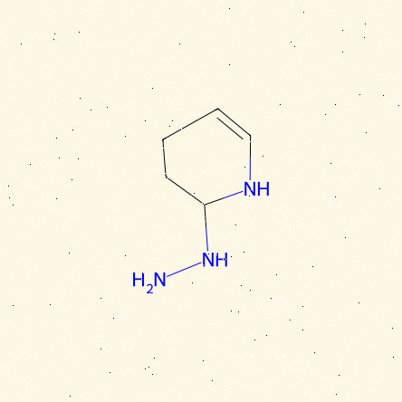 NNC1CCC=CN1